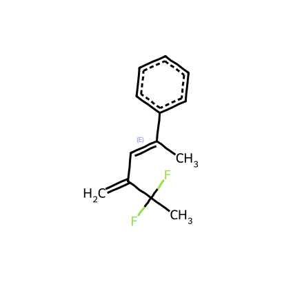 C=C(/C=C(\C)c1ccccc1)C(C)(F)F